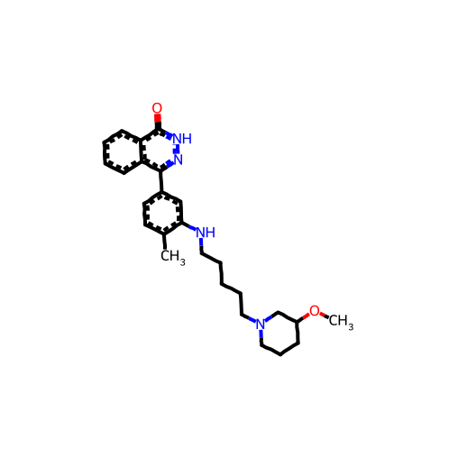 COC1CCCN(CCCCCNc2cc(-c3n[nH]c(=O)c4ccccc34)ccc2C)C1